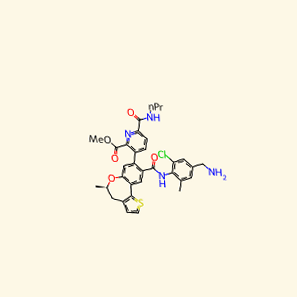 CCCNC(=O)c1ccc(-c2cc3c(cc2C(=O)Nc2c(C)cc(CN)cc2Cl)-c2sccc2C[C@@H](C)O3)c(C(=O)OC)n1